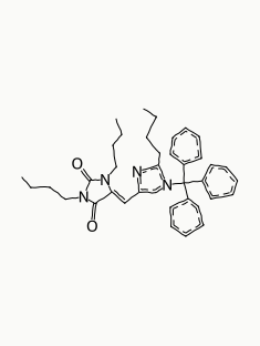 CCCCc1nc(C=C2C(=O)N(CCCC)C(=O)N2CCCC)cn1C(c1ccccc1)(c1ccccc1)c1ccccc1